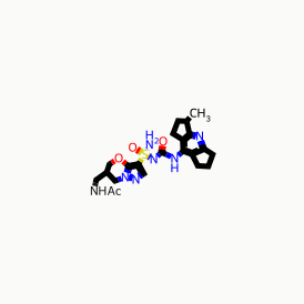 CC(=O)NCC1COc2c(S(N)(=O)=NC(=O)Nc3c4c(nc5c3CCC5C)CCC4)cnn2C1